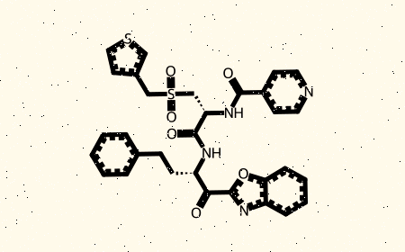 O=C(N[C@@H](CS(=O)(=O)Cc1ccsc1)C(=O)N[C@@H](CCc1ccccc1)C(=O)c1nc2ccccc2o1)c1ccncc1